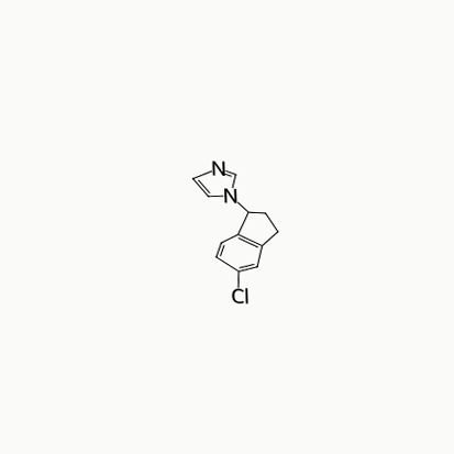 Clc1ccc2c(c1)CCC2n1ccnc1